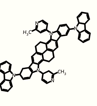 CC1=NC=CC(n2c3c(c4cc5c6c(c42)CCc2cc4c7cc(N8c9ccccc9C9C=CC=CC98)ccc7n(-c7ccnc(C)c7)c4c(c2-6)CC5)CC(n2c4ccccc4c4ccccc42)C=C3)C1